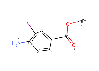 CCCOC(=O)c1ccc(N)c(I)c1